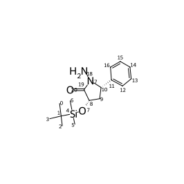 CC(C)(C)[Si](C)(C)O[C@H]1C[C@@H](c2ccccc2)N(N)C1=O